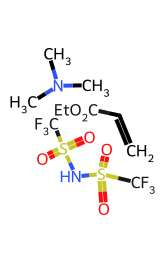 C=CC(=O)OCC.CN(C)C.O=S(=O)(NS(=O)(=O)C(F)(F)F)C(F)(F)F